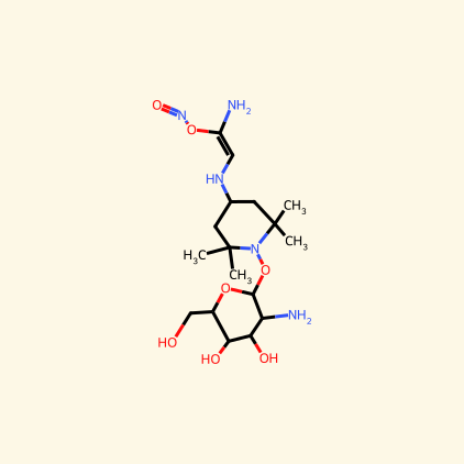 CC1(C)CC(N/C=C(/N)ON=O)CC(C)(C)N1OC1OC(CO)C(O)C(O)C1N